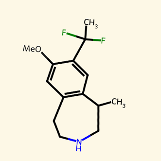 COc1cc2c(cc1C(C)(F)F)C(C)CNCC2